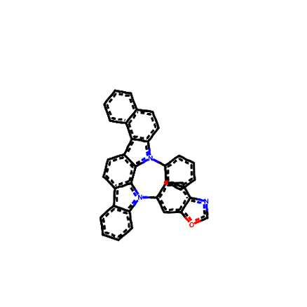 c1ccc(-n2c3ccc4ccccc4c3c3ccc4c5ccccc5n(-c5ccc6ncoc6c5)c4c32)cc1